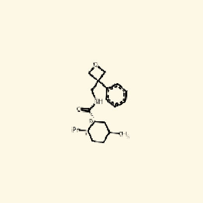 CC1CC[C@@H](C(C)C)[C@H](C(=O)NCC2(c3ccccc3)COC2)C1